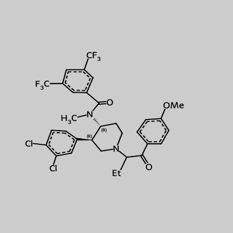 CCC(C(=O)c1ccc(OC)cc1)N1CC[C@@H](N(C)C(=O)c2cc(C(F)(F)F)cc(C(F)(F)F)c2)[C@H](c2ccc(Cl)c(Cl)c2)C1